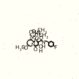 CCN(C(=O)C(=O)N(C)C)[C@H]1CC[C@H](OC)Cn2c1nc(C(=O)NCc1ccc(F)cc1)c(O)c2=O